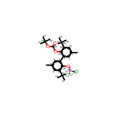 Cc1cc(-c2cc(C)cc(C(C)(C)C)c2OP(Cl)Cl)c(OC(=O)OC(C)(C)C)c(C(C)(C)C)c1